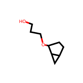 OCCCOC1CCC2CC21